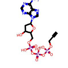 C#CCOP(=O)(O)OP(=O)(O)OP(=O)(O)OCC1OC(n2cnc3c(N)ncnc32)CC1O